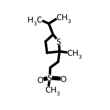 CC(C)C1CCC(C)(CCS(C)(=O)=O)S1